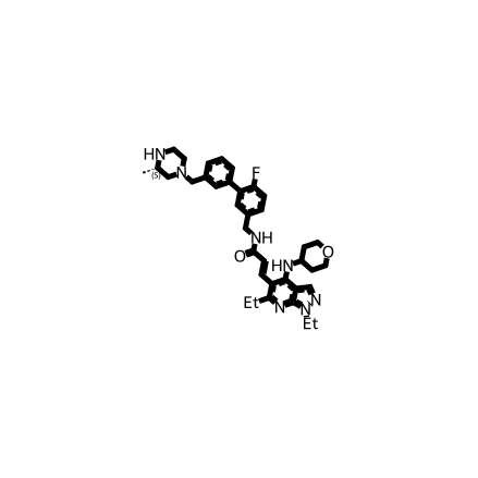 CCc1nc2c(cnn2CC)c(NC2CCOCC2)c1C=CC(=O)NCc1ccc(F)c(-c2cccc(CN3CCN[C@@H](C)C3)c2)c1